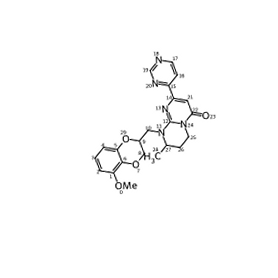 COc1cccc2c1OCC(CN1c3nc(-c4ccncn4)cc(=O)n3CCC1C)O2